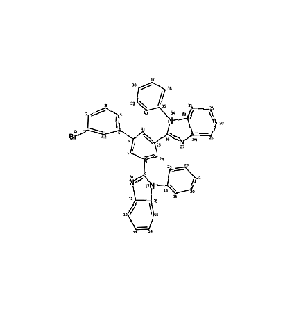 Brc1cccc(-c2cc(-c3nc4ccccc4n3-c3ccccc3)cc(-c3nc4ccccc4n3-c3ccccc3)c2)c1